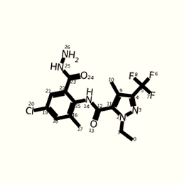 CCn1nc(C(F)(F)F)c(C)c1C(=O)Nc1c(C)cc(Cl)cc1C(=O)NN